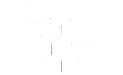 CCSc1nc(O)c2c(COC)c(Cl)c(C)c(F)c2n1